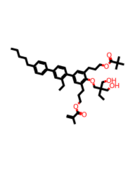 C=C(C)C(=O)OCCCc1cc(-c2ccc(-c3ccc(CCCCC)cc3)cc2CC)cc(CCCOC(=O)C(C)(C)C)c1OCC(CC)(CO)CO